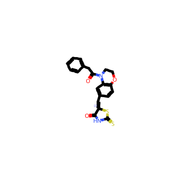 O=C1NC(=S)S/C1=C\c1ccc2c(c1)N(C(=O)Cc1ccccc1)CCO2